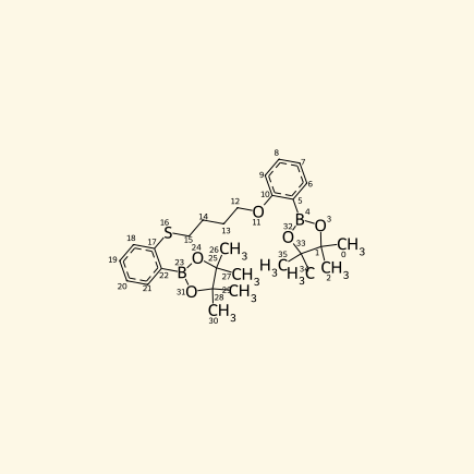 CC1(C)OB(c2ccccc2OCCCCSc2ccccc2B2OC(C)(C)C(C)(C)O2)OC1(C)C